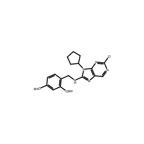 COc1ccc(CNc2nc3cnc(Cl)nc3n2C2CCCC2)c(OC)c1